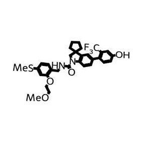 COCCOc1cc(SC)ccc1CNC(=O)N1CC2(CCCC2)c2cc(-c3ccc(O)cc3C(F)(F)F)ccc21